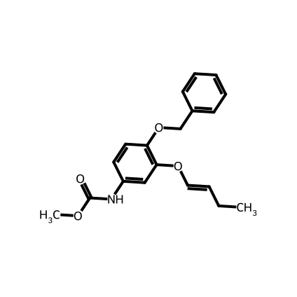 CCC=COc1cc(NC(=O)OC)ccc1OCc1ccccc1